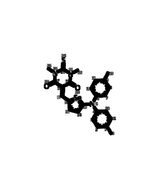 Cc1ccc(N(c2ccc(C)cc2)c2ccc(C=C3C(=O)N(C)C(=S)N(C)C3=O)[se]2)cc1